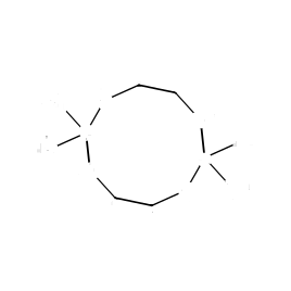 CCC[CH2][Sn]1([CH2]CCC)[O]CC[O][Sn]([CH2]CCC)([CH2]CCC)[O]CC[O]1